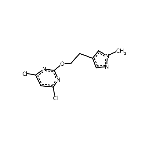 Cn1cc(CCOc2nc(Cl)cc(Cl)n2)cn1